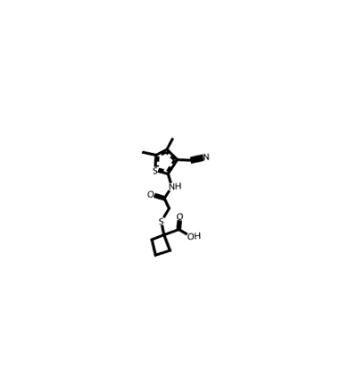 Cc1sc(NC(=O)CSC2(C(=O)O)CCC2)c(C#N)c1C